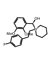 COc1cccc([C@@H](O)[N+]2(CCc3ccc(F)cc3)CCCCC2)c1OC